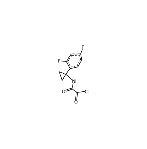 O=C(Cl)C(=O)NC1(c2ccc(F)cc2F)CC1